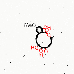 COc1cc(O)c2c(c1)C=CC[C@H](O)[C@H](O)C(=O)C=CC[C@H](C)OC2=O